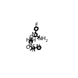 Cc1nc(-c2ccccn2)sc1C(=O)N1C[C@@H]2[C@H](C1)[C@@H]2Oc1cc(C(C)(C)N)cc(-c2ccc(F)cc2)n1